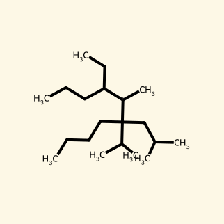 CCCCC(CC(C)C)([C](C)C(CC)CCC)C(C)C